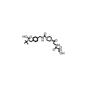 CC(C)(C)N(Cc1ccc(CNC(=O)N2CCN(C(=O)CNC(=O)C(O)CO)CC2)cc1)C(=O)O